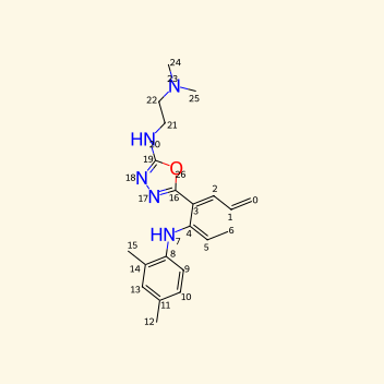 C=C/C=C(\C(=C/C)Nc1ccc(C)cc1C)c1nnc(NCCN(C)C)o1